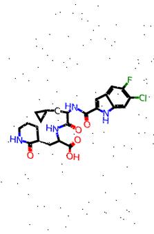 O=C(NC(CC1CC1)C(=O)NC(C[C@@H]1CCCNC1=O)C(=O)O)c1cc2cc(F)c(Cl)cc2[nH]1